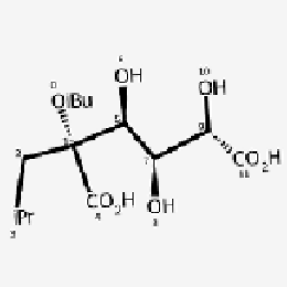 CC(C)CO[C@@](CC(C)C)(C(=O)O)[C@@H](O)[C@H](O)[C@H](O)C(=O)O